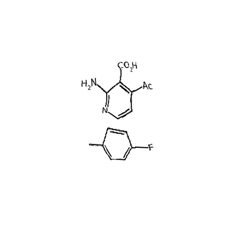 CC(=O)c1ccnc(N)c1C(=O)O.Cc1ccc(F)cc1